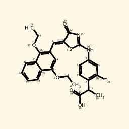 CCOc1cc(/C=C2\SC(Nc3ccc(C(C)C(=O)O)c(F)c3)=NC2=O)c(OCC)c2ccccc12